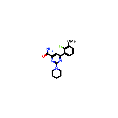 COc1cccc(-c2cc(C(N)=O)nc(N3CCCCC3)n2)c1F